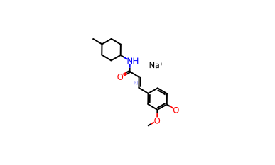 COc1cc(/C=C/C(=O)NC2CCC(C)CC2)ccc1[O-].[Na+]